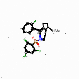 CNC1CCc2c1cn(S(=O)(=O)c1c(Cl)cc(Cl)cc1Cl)c2-c1ccccc1F